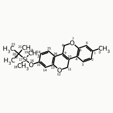 Cc1ccc2c(c1)OCC1=C2COc2cc(O[Si](C)(C)C(C)(C)C)ccc21